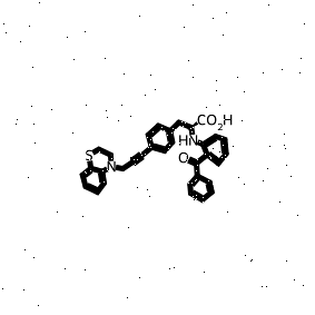 O=C(c1ccccc1)c1ccccc1N[C@@H](Cc1ccc(C#CCN2CCSc3ccccc32)cc1)C(=O)O